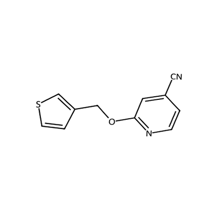 N#Cc1ccnc(OCc2ccsc2)c1